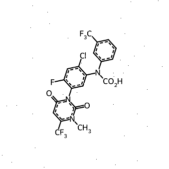 Cn1c(C(F)(F)F)cc(=O)n(-c2cc(N(C(=O)O)c3cccc(C(F)(F)F)c3)c(Cl)cc2F)c1=O